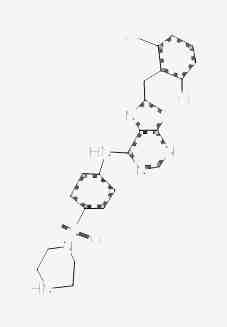 O=S(=O)(c1ccc(Nc2ncnc3sc(Cc4c(Cl)cccc4Cl)nc23)cc1)N1CCNCC1